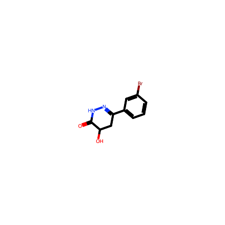 O=C1NN=C(c2cccc(Br)c2)CC1O